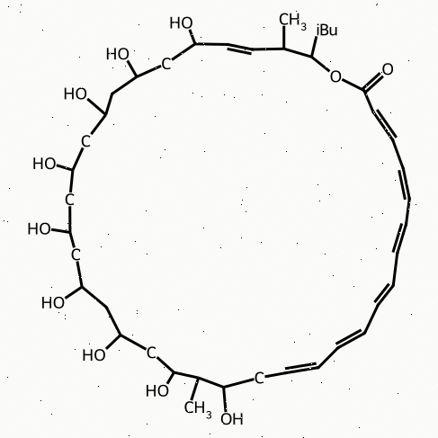 CCC(C)C1OC(=O)/C=C/C=C/C=C/C=C/C=C/C=C/CC(O)C(C)C(O)CC(O)CC(O)CC(O)CC(O)CC(O)CC(O)CC(O)/C=C/C1C